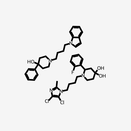 Cc1nc(Cl)c(Cl)n1CCCCN1CCC(O)(O)CC1c1ccccc1F.OC1(c2ccccc2)CCN(CCCCn2ccc3ccccc32)CC1